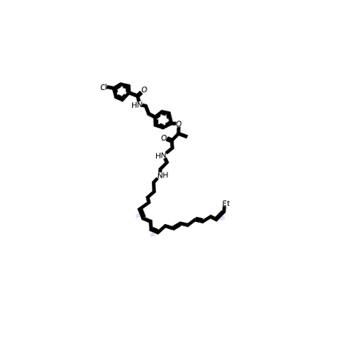 CC/C=C\CC=CCC=CC/C=C\C/C=C\CCCCNCCNCC(=O)C(C)Oc1ccc(CCNC(=O)c2ccc(Cl)cc2)cc1